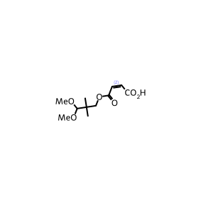 COC(OC)C(C)(C)COC(=O)/C=C\C(=O)O